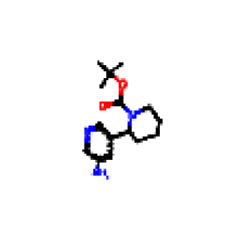 CC(C)(C)OC(=O)N1CCCCC1c1cncc(N)c1